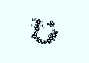 CC(C)(c1ccc(OCc2ccnc(N3CC4CN(CC5CN(c6ccc7c(c6)C(=O)N(C6CCC(=O)NC6=O)C7=O)C5)CC4C3)n2)cc1)c1cc(Cl)cc(C#N)c1.O=C(O)C(F)(F)F